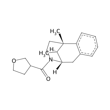 C[C@@H]1[C@@H]2Cc3ccccc3[C@@]1(C)CCN2C(=O)C1CCOC1